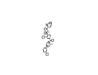 C[C@H]1[C@H](C)N(c2cccc(Cl)c2)CCN1C(=O)c1ccc([S+]([O-])CC(=O)c2ccncn2)c(Cl)c1